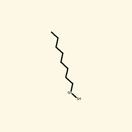 CCCCCCC[CH2][Sn][SH]